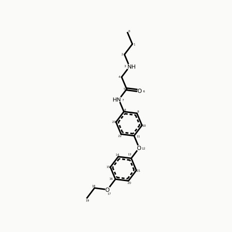 CCCNCC(=O)Nc1ccc(Oc2ccc(OCC)cc2)cc1